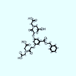 O=C(O)CN(CC(=O)O)C(=O)COc1cc(OCC(=O)N(CC(=O)O)CC(=O)O)cc(C(=O)OCc2ccccc2)c1